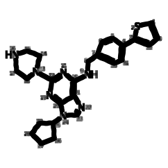 c1csc(-c2ccc(CNc3nc(N4CCNCC4)nc4c3ncn4C3CCCC3)cc2)c1